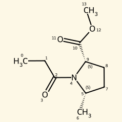 CCC(=O)N1[C@@H](C)CC[C@H]1C(=O)OC